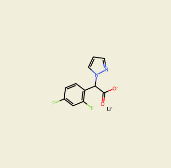 O=C([O-])C(c1ccc(F)cc1F)n1cccn1.[Li+]